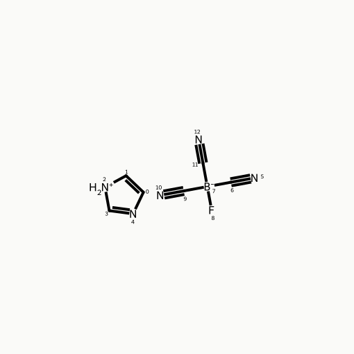 C1=C[NH2+]C=N1.N#C[B-](F)(C#N)C#N